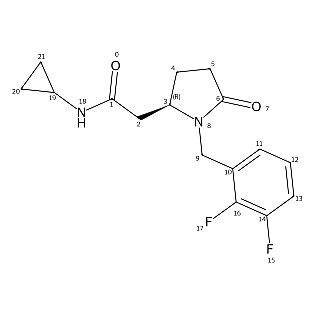 O=C(C[C@H]1CCC(=O)N1Cc1cccc(F)c1F)NC1CC1